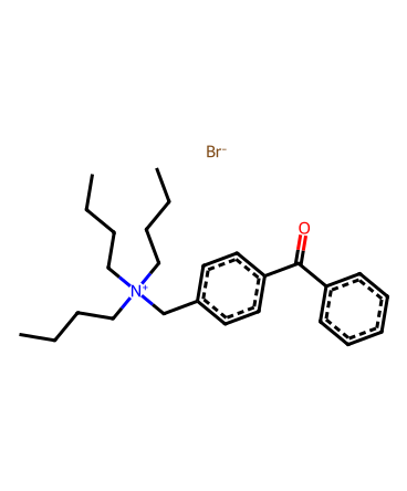 CCCC[N+](CCCC)(CCCC)Cc1ccc(C(=O)c2ccccc2)cc1.[Br-]